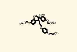 COCOc1ccc(C2(SC)COc3cc(OCOC)ccc3C2CCCOc2ccc(OCCO)cc2)cc1